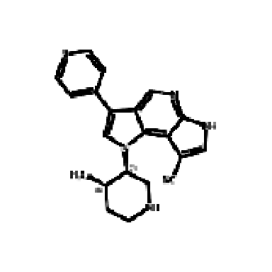 C[C@@H]1CCNC[C@@H]1n1cc(-c2ccncc2)c2cnc3[nH]cc(C#N)c3c21